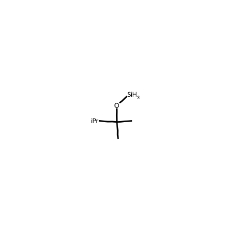 CC(C)C(C)(C)O[SiH3]